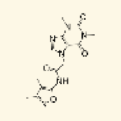 Cc1noc(NC(=O)Cn2cnc3c2c(=O)n(C)c(=O)n3C)c1C